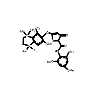 COc1cc(OC)c(NC(=O)C2OC(Oc3c(OC)cc4c(c3C)[Si](C)(C)CC[Si]4(C)C)=CC2=O)c(OC)c1